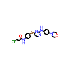 O=C(/C=C/Cl)Nc1ccc(Sc2ccnc(Nc3ccc(N4CCOCC4)cc3)n2)cc1